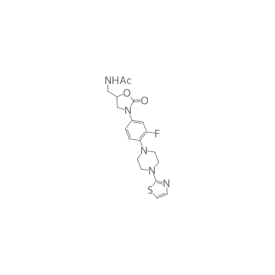 CC(=O)NCC1CN(c2ccc(N3CCN(c4nccs4)CC3)c(F)c2)C(=O)O1